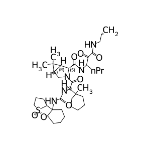 C=CCNC(=O)C(=O)C(CCC)NC(=O)[C@@H]1[C@@H]2[C@H](CN1C(=O)[C@@H](NC(=O)NC1(C3CCCS3(=O)=O)CCCCC1)C1(C)CCCCC1)C2(C)C